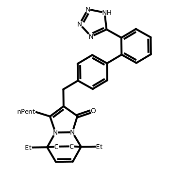 CCCCCc1c(Cc2ccc(-c3ccccc3-c3nnn[nH]3)cc2)c(=O)n2n1C1(CC)C=CC2(CC)CC1